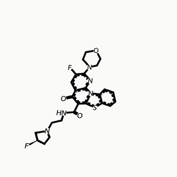 O=C(NCCN1CC[C@@H](F)C1)c1c(=O)c2cc(F)c(N3CCOCC3)nc2n2c1sc1ccccc12